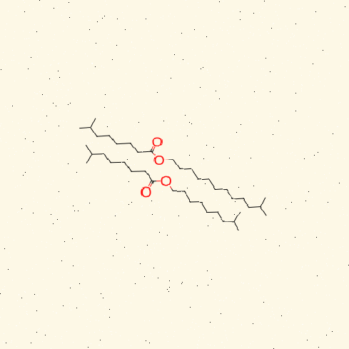 CC(C)CCCCCCCCCCOC(=O)CCCCCC(C)C.CC(C)CCCCCCCOC(=O)CCCCCC(C)C